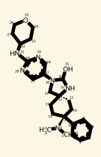 CN(C)[C@]1(c2ccccc2)CC[C@]2(CC1)CN(c1cnc(NC3CCOCC3)nc1)C(O)N2